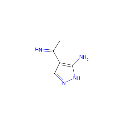 CC(=N)c1cn[nH]c1N